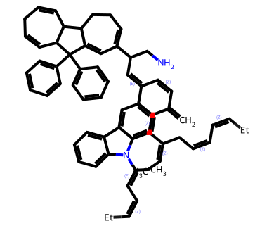 C=C(/C=C\C(=C/C)C/C=C\C=C/CC)/C=C\C(=C/C(CN)C1=CCCC2C(=C1)C(c1ccccc1)(c1ccccc1)C1C=CCC=CC21)c1ccc2c(c1)c1ccccc1n2/C(C)=C/C=C\CC